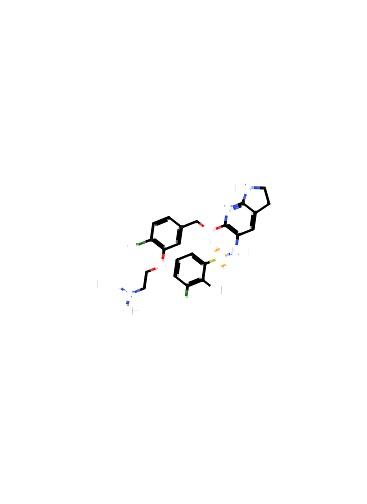 Cc1c(Cl)cccc1S(=O)(=O)Nc1cc2c(nc1OCc1ccc(Cl)c(OCCN(C)C)c1)NCC2